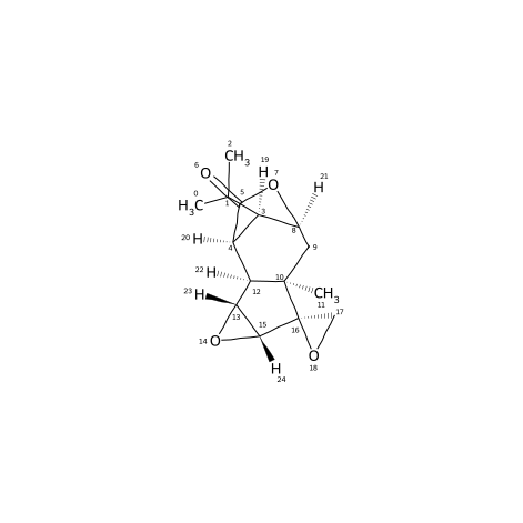 CC(C)[C@@H]1[C@@H]2C(=O)O[C@H]1C[C@]1(C)[C@H]2[C@H]2O[C@H]2[C@@]12CO2